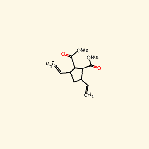 C=CC1CC(C=C)[C@H](C(=O)OC)C1C(=O)OC